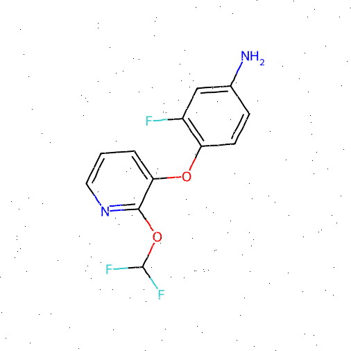 Nc1ccc(Oc2cccnc2OC(F)F)c(F)c1